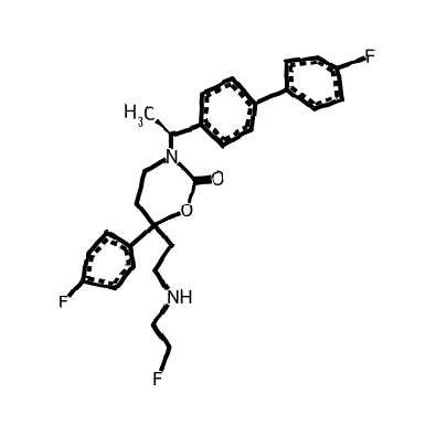 C[C@@H](c1ccc(-c2ccc(F)cc2)cc1)N1CCC(CCNCCF)(c2ccc(F)cc2)OC1=O